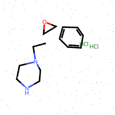 C1CO1.CCN1CCNCC1.Cl.Cl.c1ccccc1